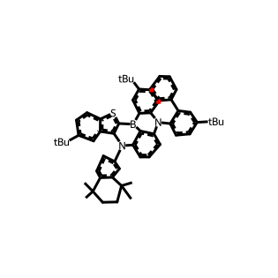 CC(C)(C)c1ccc2c(c1)B1c3sc4ccc(C(C)(C)C)cc4c3N(c3ccc4c(c3)C(C)(C)CCC4(C)C)c3cccc(c31)N2c1ccc(C(C)(C)C)cc1-c1ccccc1